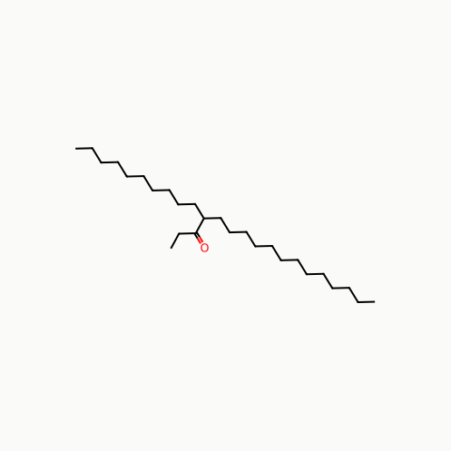 CCCCCCCCCCCCCC(CCCCCCCCCC)C(=O)CC